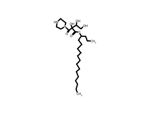 CCCCCCCCCCCCCCC(CCC)OC(=O)C(O)(C(=O)N1CCNCC1)C(O)CO